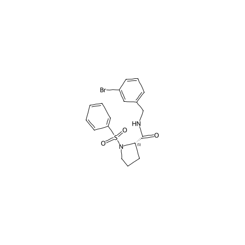 O=C(NCc1cccc(Br)c1)[C@@H]1CCCN1S(=O)(=O)c1ccccc1